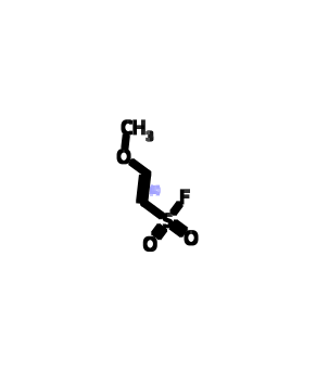 CO/C=C/S(=O)(=O)F